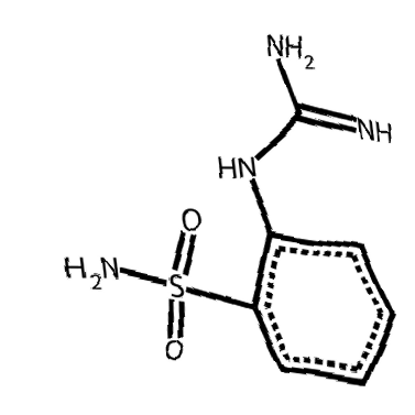 N=C(N)Nc1ccccc1S(N)(=O)=O